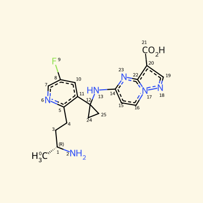 C[C@@H](N)CCc1ncc(F)cc1C1(Nc2ccn3ncc(C(=O)O)c3n2)CC1